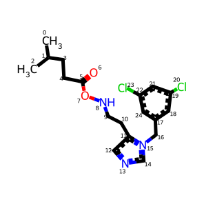 CC(C)CCC(=O)ONCCc1cncn1Cc1cc(Cl)cc(Cl)c1